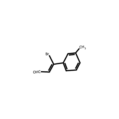 Cc1cccc(/C(Br)=C/C=O)c1